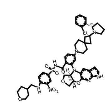 CCc1ccccc1[C@@H]1CCCN1C1CC2(CCN(c3ccc(C(=O)NS(=O)(=O)c4ccc(NCC5CCOCC5)c([N+](=O)[O-])c4)c(N4c5cc6cc[nH]c6nc5O[C@@H]5COC[C@H]54)c3)CC2)C1